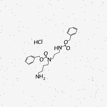 Cl.NCCCCN(CCCNC(=O)OCc1ccccc1)C(=O)OCc1ccccc1